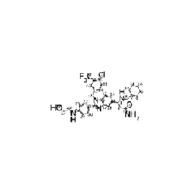 NC(=O)CC(NCC1CCCCC1)c1ccc2c(c1)nc(-c1ccc(NCCO)cc1)n2Cc1ccc(Cl)c(C(F)(F)F)c1